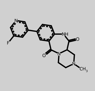 CN1CCN2C(=O)c3cc(-c4cncc(F)c4)ccc3NC(=O)C2C1